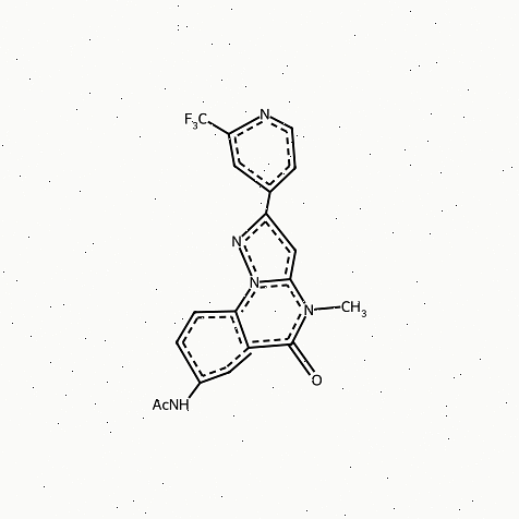 CC(=O)Nc1ccc2c(c1)c(=O)n(C)c1cc(-c3ccnc(C(F)(F)F)c3)nn21